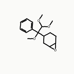 CO[C](OC)C(OC)(c1ccccc1)C1CCC2OC2C1